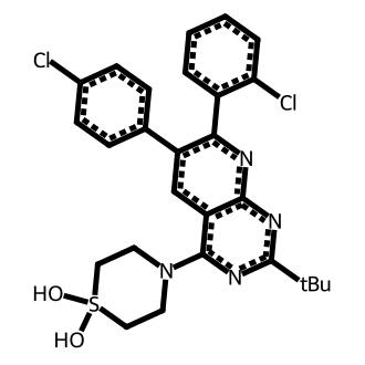 CC(C)(C)c1nc(N2CCS(O)(O)CC2)c2cc(-c3ccc(Cl)cc3)c(-c3ccccc3Cl)nc2n1